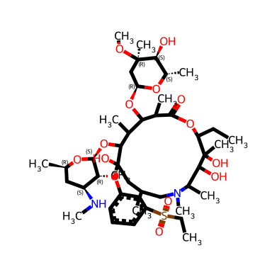 CCC1OC(=O)C(C)C(O[C@H]2C[C@@](C)(OC)[C@@H](O)[C@H](C)O2)C(C)C(O[C@@H]2O[C@H](C)C[C@H](NC)[C@H]2Oc2cccc(S(=O)(=O)CC)c2)C(C)(O)CC(C)CN(C)C(C)C(O)C1(C)O